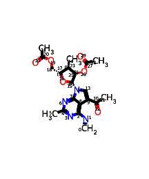 C=Nc1nc(C)nc2c1c(C(C)=O)cn2[C@@H]1O[C@H](COC(C)=O)[C@@H](C)[C@H]1OC(C)=O